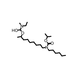 CCCCCCN(CCCCCCCC(C)OC(O)N(C)CC)C(=O)OC(C)C